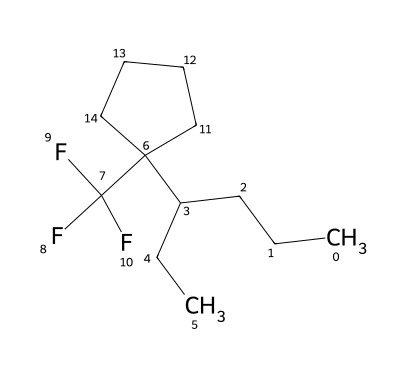 CCCC(CC)C1(C(F)(F)F)CCCC1